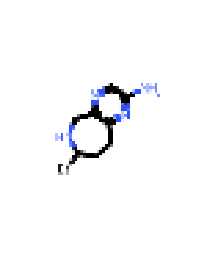 CCC1CCc2nc(N)cnc2CN1